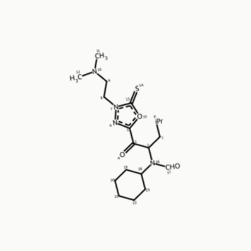 CC(C)CC(C(=O)c1nn(CCN(C)C)c(=S)o1)N(C=O)C1CCCCC1